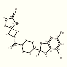 CC1(C2CCN(C(=O)[C@H]3C[C@@]4(COC(=O)N4)C3)CC2)Cc2cc(F)cc(Cl)c2O1